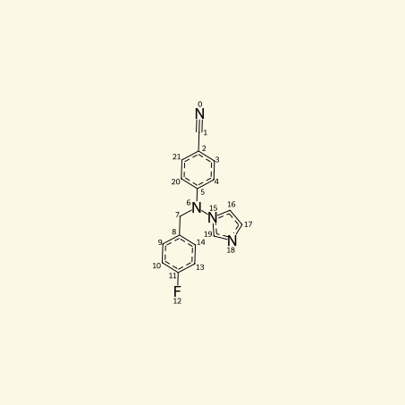 N#Cc1ccc(N(Cc2ccc(F)cc2)n2ccnc2)cc1